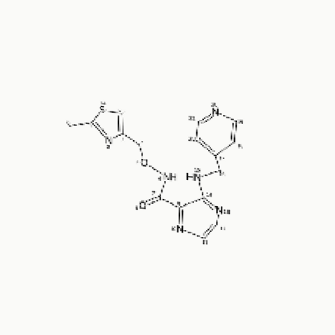 Cc1nc(CONC(=O)c2nccnc2NCc2ccncc2)cs1